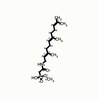 COP(=O)(O)CC(=O)NC/C=C(\C)CC/C=C(\C)CCC=C(C)C